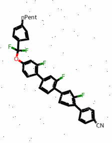 CCCCCc1ccc(C(F)(F)Oc2ccc(-c3ccc(-c4ccc(-c5ccc(C#N)cc5)c(F)c4)c(F)c3)c(F)c2)cc1